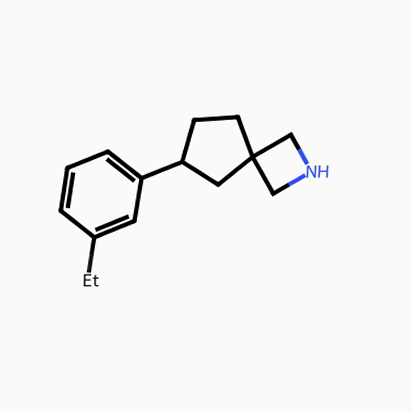 CCc1cccc(C2CCC3(CNC3)C2)c1